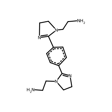 NCCN1CCN=C1c1ccc(C2=NCCN2CCN)cc1